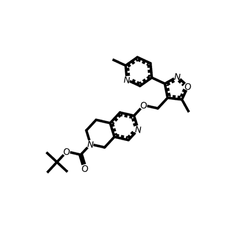 Cc1ccc(-c2noc(C)c2COc2cc3c(cn2)CN(C(=O)OC(C)(C)C)CC3)cn1